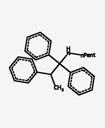 CCCCCNC(c1ccccc1)(c1ccccc1)C(C)c1ccccc1